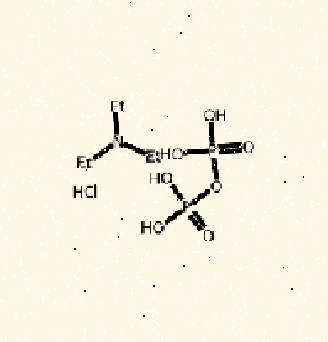 CCN(CC)CC.Cl.O=P(O)(O)OP(=O)(O)O